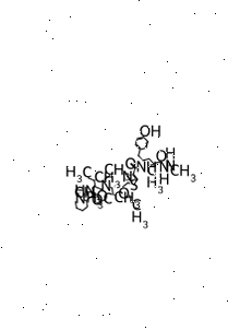 CCCO[C@H](C[C@H](C(C)C)N(CCC)C(=O)[C@@H](NC(=O)[C@H]1CCCCN1C)[C@@H](C)CC)c1nc(C(=O)N[C@@H](Cc2ccc(O)cc2)C[C@H](C)C(=O)NNC)cs1